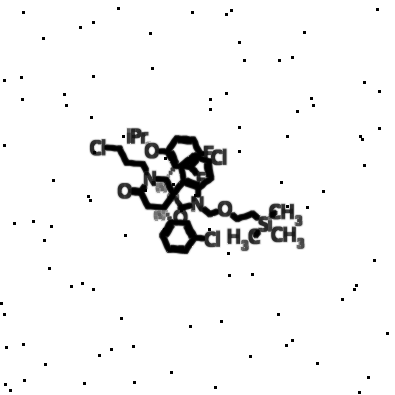 CC(C)Oc1ccc(F)c(F)c1[C@H]1N(CCCCl)C(=O)C[C@@H](c2cccc(Cl)c2)[C@]12C(=O)N(COCC[Si](C)(C)C)c1cc(Cl)ccc12